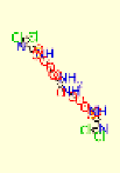 CN1Cc2c(Cl)cc(Cl)cc2C(c2ccc(S(=O)(=O)NCCOCCOCCOCCNC(=O)C3=CCC(CCOCCOCCOCCNS(=O)(=O)c4ccc(C5CN(C)Cc6c(Cl)cc(Cl)cc65)cc4)(C(N)=O)C=C3)cc2)C1